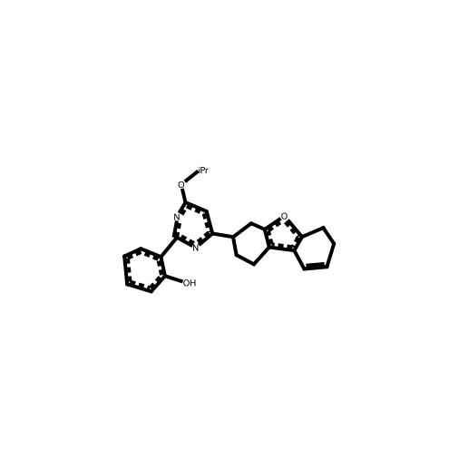 CC(C)Oc1cc(C2CCc3c(oc4c3C=CCC4)C2)nc(-c2ccccc2O)n1